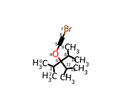 CC(C)C(OC#CBr)(C(C)C)C(C)C